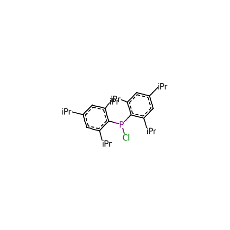 CC(C)c1cc(C(C)C)c(P(Cl)c2c(C(C)C)cc(C(C)C)cc2C(C)C)c(C(C)C)c1